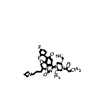 C=CC(=O)N1CC(C)N(c2nc(=O)n3c4c(c(-c5ccc(F)cc5F)c(Cl)cc24)OCC3CCCN2CCC2)C[C@@H]1CC#N